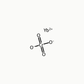 [O]=[Cr](=[O])([O-])[O-].[Yb+2]